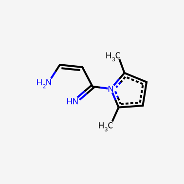 Cc1ccc(C)n1C(=N)/C=C\N